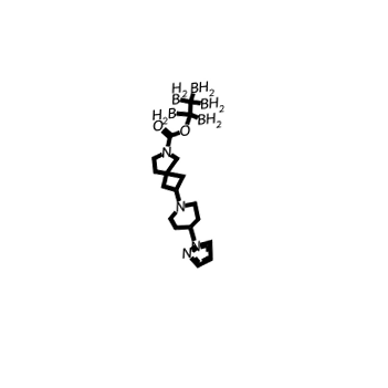 BC(B)(B)C(B)(B)OC(=O)N1CCC2(CC(N3CCC(n4cccn4)CC3)C2)C1